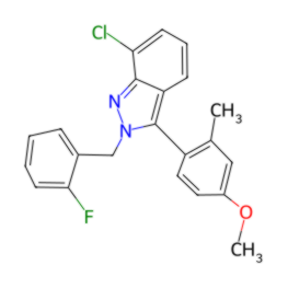 COc1ccc(-c2c3cccc(Cl)c3nn2Cc2ccccc2F)c(C)c1